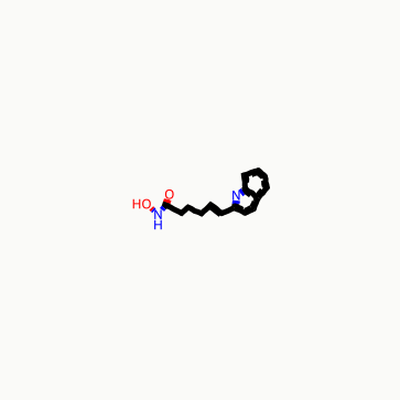 O=C(CCCC=Cc1ccc2ccccc2n1)NO